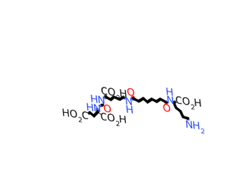 NCCCCC(NC(=O)CCCCCCC(=O)NCCCCC(NC(=O)N[C@@H](CCC(=O)O)C(=O)O)C(=O)O)C(=O)O